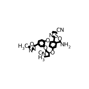 Cc1nnc(-c2ccc(Oc3cc(O[C@H]4CCN(C)C4=O)cc(C(N)=O)c3-c3ncc(C#N)s3)cc2)o1